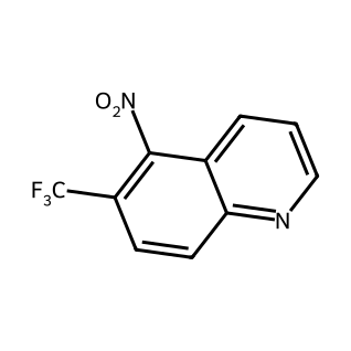 O=[N+]([O-])c1c(C(F)(F)F)ccc2ncccc12